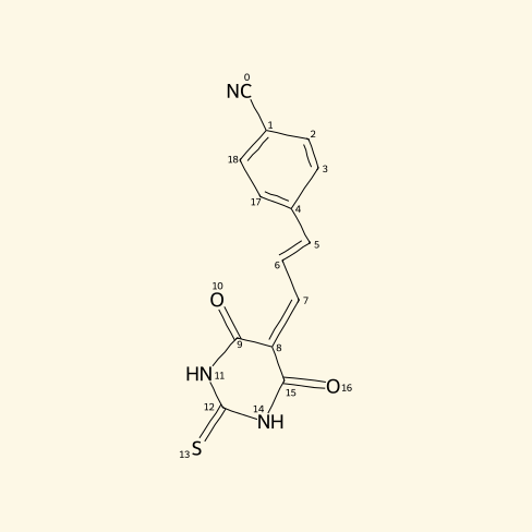 N#Cc1ccc(/C=C/C=C2C(=O)NC(=S)NC2=O)cc1